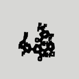 N#Cc1cnc2c(F)cc(-c3cc(NC(=O)c4cc(F)cc(C(F)(F)F)c4)c4c(c3)C(=O)NC4c3cc(F)ccc3Cl)cn12